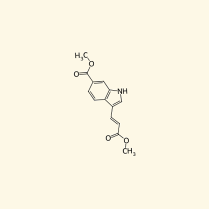 COC(=O)/C=C/c1c[nH]c2cc(C(=O)OC)ccc12